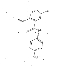 COc1ccc(Cl)cc1C(=O)Nc1ccc(C(=O)O)cc1